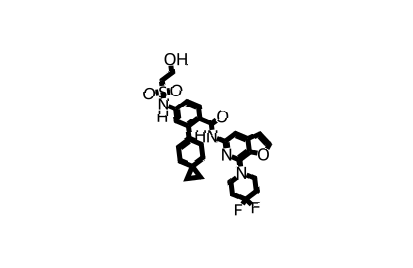 O=C(Nc1cc2ccoc2c(N2CCC(F)(F)CC2)n1)c1ccc(NS(=O)(=O)CCO)cc1C1=CCC2(CC1)CC2